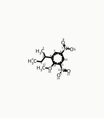 CCC(C)c1cc([N+](=O)[O-])cc([N+](=O)[O-])c1OC